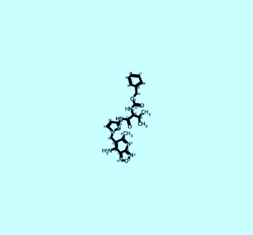 Cc1nc2nonc2c(N)c1Cn1ccc(NC(=O)C(NC(=O)OCc2ccccc2)C(C)C)n1